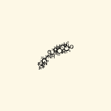 CN1C(=O)C=C[C@]2(C)[C@H]3CC[C@]4(C)[C@@H](CC(=O)NCc5ccc(C(F)(F)F)nc5)CC[C@H]4[C@@H]3CC[C@@H]12